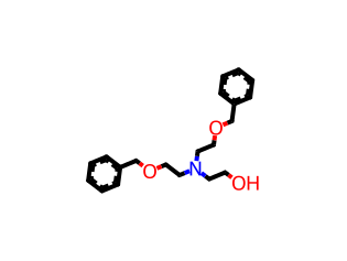 OCCN(CCOCc1ccccc1)CCOCc1ccccc1